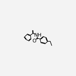 C=C(NC(=O)c1ccc(CC)cc1)c1ccccc1